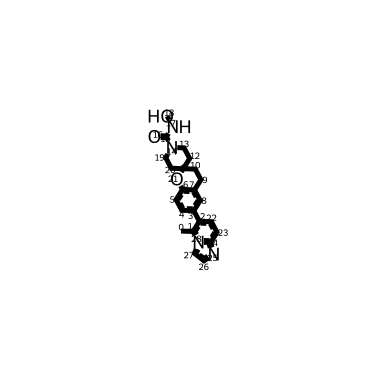 Cc1c(-c2ccc3c(c2)CCC2(CCN(C(=O)NO)CC2)O3)ccc2nccn12